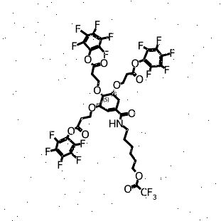 O=C(CCO[C@@H]1[C@H](OCCC(=O)Oc2c(F)c(F)c(F)c(F)c2F)C=C(C(=O)NCCCCCCOC(=O)C(F)(F)F)C[C@H]1OCCC(=O)Oc1c(F)c(F)c(F)c(F)c1F)Oc1c(F)c(F)c(F)c(F)c1F